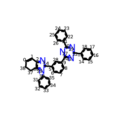 C1=Cc2nc(-c3cccc(-c4nc(-c5ccccc5)nc(-c5ccccc5)n4)c3)n(-c3ccccc3)c2CC1